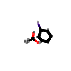 Ic1ccccc1.[O]C(=O)C(F)(F)F